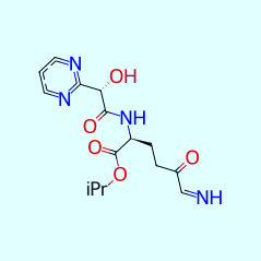 CC(C)OC(=O)[C@H](CCC(=O)C=N)NC(=O)[C@@H](O)c1ncccn1